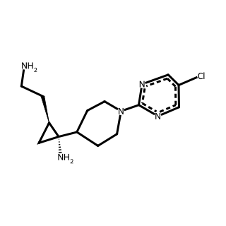 NCC[C@@H]1C[C@]1(N)C1CCN(c2ncc(Cl)cn2)CC1